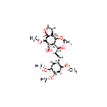 COc1cc(OC)c(OC)cc1C=CC(=O)c1c(O)c(OC)c2occc2c1OC